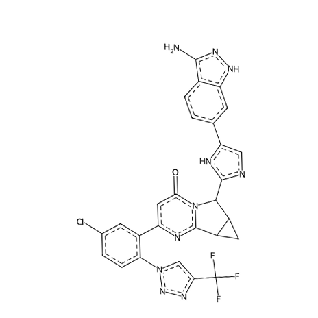 Nc1n[nH]c2cc(-c3cnc(C4C5CC5c5nc(-c6cc(Cl)ccc6-n6cc(C(F)(F)F)nn6)cc(=O)n54)[nH]3)ccc12